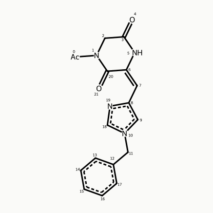 CC(=O)N1CC(=O)NC(=Cc2cn(Cc3ccccc3)cn2)C1=O